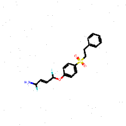 NC(F)C=CC(F)Oc1ccc(S(=O)(=O)CCc2ccccc2)cc1